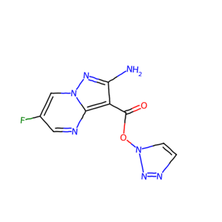 Nc1nn2cc(F)cnc2c1C(=O)On1ccnn1